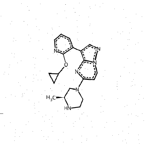 C[C@H]1CN(c2ccn3ncc(-c4cccnc4OC4CC4)c3n2)CCN1